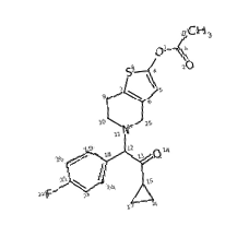 CC(=O)Oc1cc2c(s1)CCN(C(C(=O)C1CC1)c1ccc(F)cc1)C2